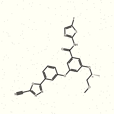 COC[C@@H](C)Oc1cc(Oc2cccc(-c3nnc(C#N)o3)c2)cc(C(=O)Nc2ncc(F)s2)c1